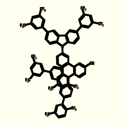 N#Cc1ccc(-n2c3ccc(-c4cc(C(F)(F)F)cc(C(F)(F)F)c4)cc3c3cc(-c4cc(C(F)(F)F)ccc4C(F)(F)F)ccc32)c(-c2cc(-n3c4ccc(-c5cc(C(F)(F)F)cc(C(F)(F)F)c5)cc4c4cc(-c5cc(C(F)(F)F)cc(C(F)(F)F)c5)ccc43)ccc2-c2cc(C(F)(F)F)cc(C(F)(F)F)c2)c1